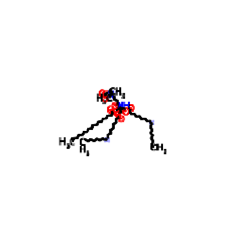 CCCCCCCCC=CCCCCCCCC(=O)OCC(COC(=O)CCCCCCC/C=C\CCCCCCCC)(COC(=O)CCCCCCC/C=C\CCCCCCCC)NC(=O)CCC[N+](C)(C)CC(=O)[O-]